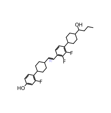 CCCC(O)C1CCC(c2ccc(/C=C/C3CCC(c4ccc(O)cc4F)CC3)c(F)c2F)CC1